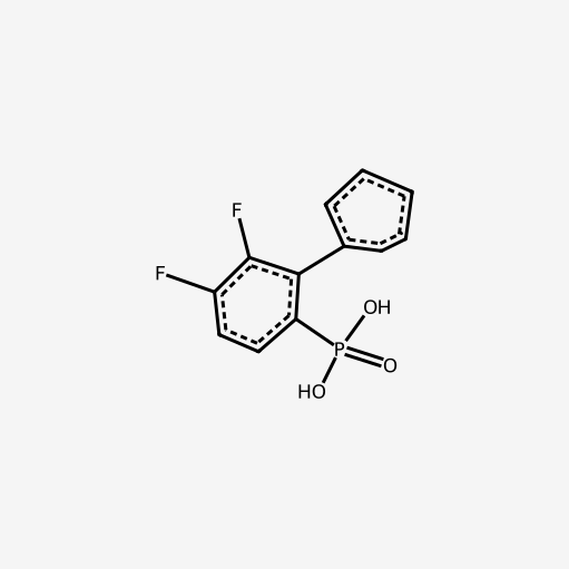 O=P(O)(O)c1ccc(F)c(F)c1-c1ccccc1